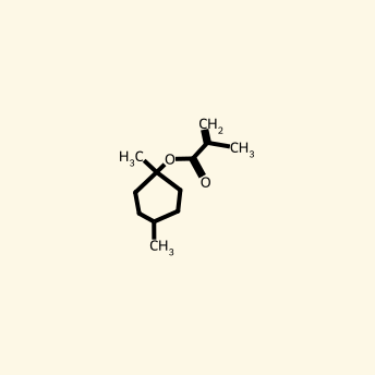 C=C(C)C(=O)OC1(C)CCC(C)CC1